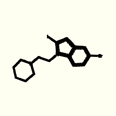 Brc1ccc2c(c1)cc(I)n2CCN1CCCCC1